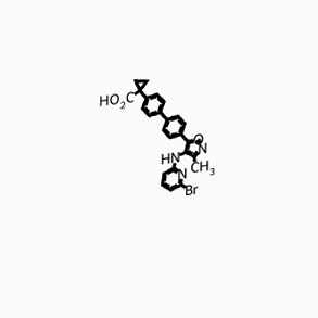 Cc1noc(-c2ccc(-c3ccc(C4(C(=O)O)CC4)cc3)cc2)c1Nc1cccc(Br)n1